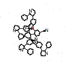 N#Cc1cc(-n2c3ccc(-c4cccnc4-c4ccccc4)cc3c3cc(-c4cccnc4-c4ccccc4)ccc32)c(-c2c(C#N)cccc2C(F)(F)F)c(-n2c3ccc(-c4cccnc4-c4ccccc4)cc3c3cc(-c4cccnc4-c4ccccc4)ccc32)c1